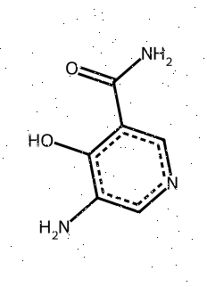 NC(=O)c1cncc(N)c1O